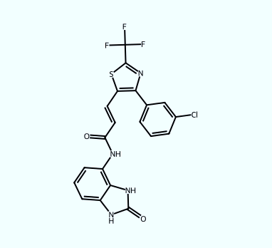 O=C(/C=C/c1sc(C(F)(F)F)nc1-c1cccc(Cl)c1)Nc1cccc2[nH]c(=O)[nH]c12